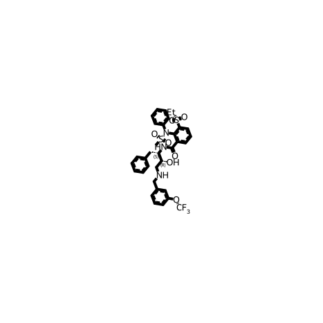 CCS(=O)(=O)c1cccc(C(=O)N[C@@H](Cc2ccccc2)[C@H](O)CNCc2cccc(OC(F)(F)F)c2)c1N(c1ccccc1)S(C)(=O)=O